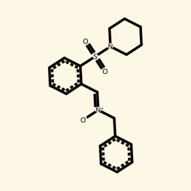 O=S(=O)(c1ccccc1/C=[N+](\[O-])Cc1ccccc1)N1CCCCC1